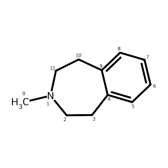 CN1CCc2ccccc2CC1